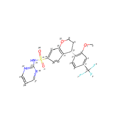 COc1cc(C(F)(F)F)ccc1[C@H]1CCOc2cc(S(=O)(=O)Nc3ncccn3)ccc21